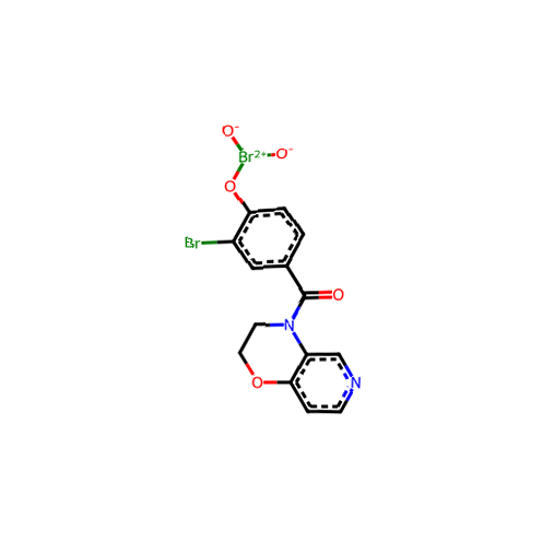 O=C(c1ccc(O[Br+2]([O-])[O-])c(Br)c1)N1CCOc2ccncc21